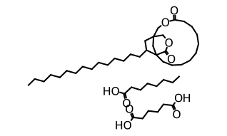 CCCCCCCC(=O)O.CCCCCCCCCCCCCCCC1CC23COC(=O)CCCCCCCCCC1(C2)C(=O)OC3.O=C(O)CCCCC(=O)O